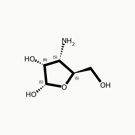 N[C@H]1[C@@H](O)[C@@H](O)O[C@@H]1CO